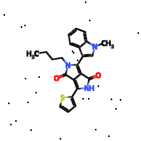 CCCCN1C(=O)C2=C(c3cccs3)NC(=O)C2=C1c1cn(C)c2ccccc12